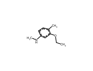 CCOc1cc(NC)ccc1C